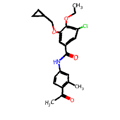 CCOc1c(Cl)cc(C(=O)Nc2ccc(C(C)=O)c(C)c2)cc1OCC1CC1